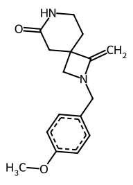 C=C1N(Cc2ccc(OC)cc2)CC12CCNC(=O)C2